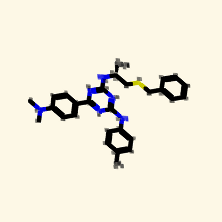 CN(C)c1ccc(-c2nc(Nc3ccc(C(F)(F)F)cc3)nc(N[C@@H](CSCc3ccccc3)C(=O)O)n2)cc1